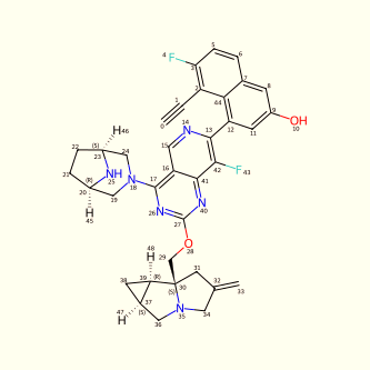 C#Cc1c(F)ccc2cc(O)cc(-c3ncc4c(N5C[C@H]6CC[C@@H](C5)N6)nc(OC[C@@]56CC(=C)CN5C[C@H]5C[C@H]56)nc4c3F)c12